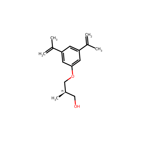 C=C(C)c1cc(OC[C@H](C)CO)cc(C(=C)C)c1